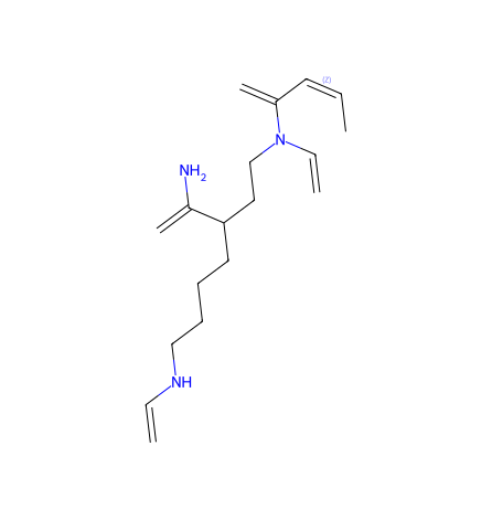 C=CNCCCCC(CCN(C=C)C(=C)/C=C\C)C(=C)N